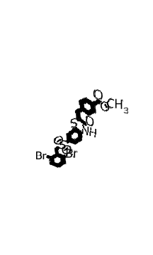 COC(=O)c1ccc(/C=C2/Sc3cc(S(=O)(=O)Cc4c(Br)cccc4Br)ccc3NC2=O)cc1